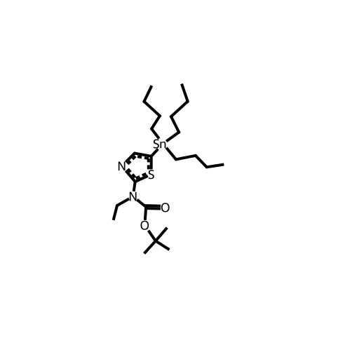 CCC[CH2][Sn]([CH2]CCC)([CH2]CCC)[c]1cnc(N(CC)C(=O)OC(C)(C)C)s1